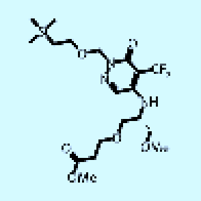 COC[C@H](COCCC(=O)OC)Nc1cnn(COCC[Si](C)(C)C)c(=O)c1C(F)(F)F